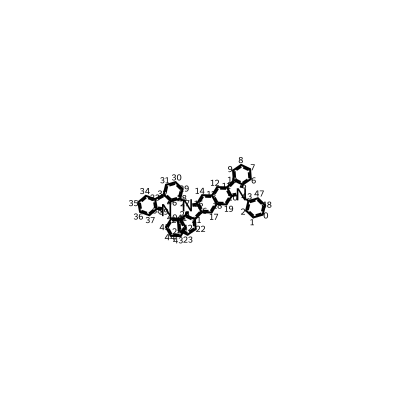 c1ccc(-n2c3ccccc3c3cc4cc5c(cc4cc32)c2ccccc2n5-c2cccc3c4ccccc4n(-c4ccccc4)c23)cc1